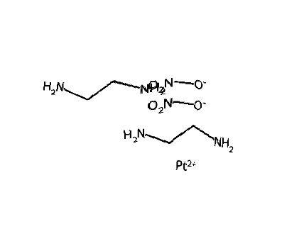 NCCN.NCCN.O=[N+]([O-])[O-].O=[N+]([O-])[O-].[Pt+2]